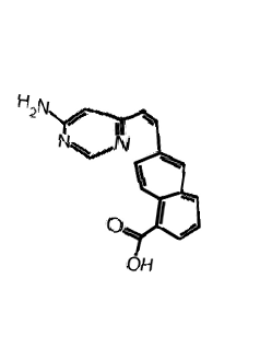 Nc1cc(/C=C\c2ccc3c(C(=O)O)cccc3c2)ncn1